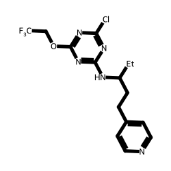 CCC(CCc1ccncc1)Nc1nc(Cl)nc(OCC(F)(F)F)n1